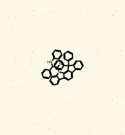 c1ccc(C2Nc3ccccc3NC2n2c3ccccc3c3ccc4c(c32)C(c2ccccc2)(c2ccccc2)c2ccccc2-4)cc1